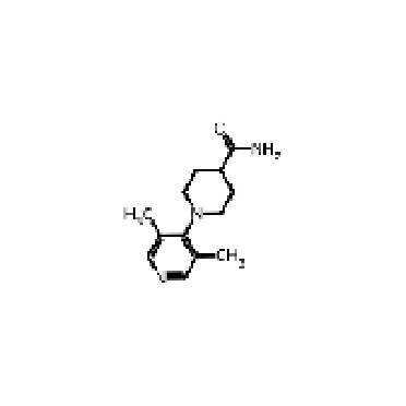 Cc1cncc(C)c1N1CCC(C(N)=O)CC1